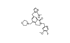 CNc1nccn1Cc1cc(CN2CCOCC2)c2c(c1)C(=O)N(Cc1cc(OC)c(F)cn1)CC2